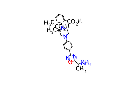 CC(N)c1nc(-c2ccc(N3CCN(C4C(C(=O)O)=CC=CC4(C)C(=O)O)[C@H](C)C3)cc2)no1